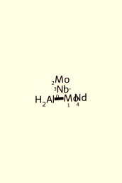 [AlH2][Mo].[Mo].[Nb].[Nd]